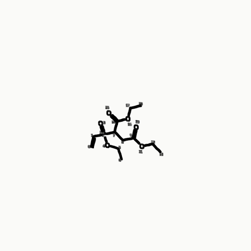 C=CP(=O)(OCC)C(CC(=O)OCC)C(=O)OCC